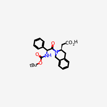 CC(C)(C)OC(=O)N[C@H](C(=O)N1Cc2ccccc2C[C@@H]1CC(=O)O)c1ccccc1